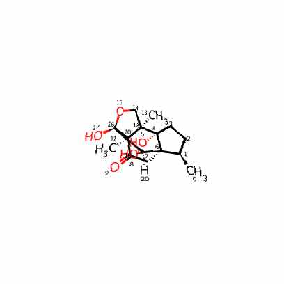 C[C@@H]1CC[C@@]2(O)[C@@]13CC(=O)[C@]1(C)[C@@]2(C)CO[C@@]1(O)[C@@H]3O